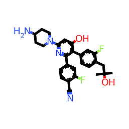 CC(C)(O)Cc1ccc(-c2c(O)cc(N3CCC(N)CC3)nc2-c2ccc(C#N)c(F)c2)cc1F